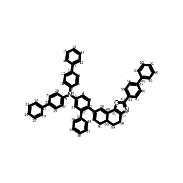 C1=C(c2ccc(N(c3ccc(-c4ccccc4)cc3)c3ccc(-c4ccccc4)cc3)cc2-c2ccccc2)C=C2c3oc(-c4ccc(-c5ccccc5)cc4)nc3CCC2C1